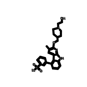 CCS(=O)(=O)c1cccc(-c2cccc3[nH]c4nc(OCC5CCN(CCO)CC5)c(C)cc4c23)c1